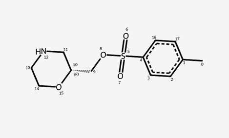 Cc1ccc(S(=O)(=O)OC[C@H]2CNCCO2)cc1